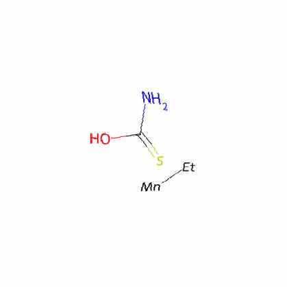 C[CH2][Mn].NC(O)=S